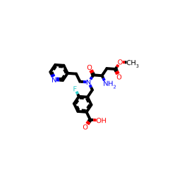 COC(=O)CC(N)C(=O)N(CCc1cccnc1)Cc1cc(C(=O)O)ccc1F